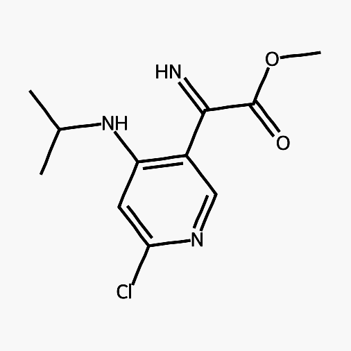 COC(=O)C(=N)c1cnc(Cl)cc1NC(C)C